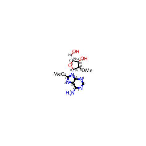 COc1nc2c(N)ncnc2n1[C@@H]1O[C@H](CO)[C@@H](O)[C@H]1OC